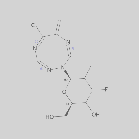 C=C1/N=C\N([C@@H]2O[C@H](CO)C(O)C(F)C2C)/N=C\N=C/1Cl